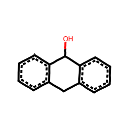 OC1c2[c]cccc2Cc2ccccc21